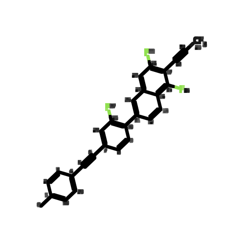 Cc1ccc(C#Cc2ccc(-c3ccc4c(F)c(C#CC(F)(F)F)c(F)cc4c3)c(F)c2)cc1